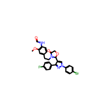 COc1cc(CCN2C(=O)COC2c2cn(-c3ccc(Br)cc3)nc2-c2ccc(F)cc2)ccc1NC=O